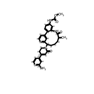 COC(=O)Nc1ccc2c(c1)NC(=O)C(C)CCCC(N1CCC(c3ccnc(N)c3)=CC1=O)c1cc-2ccn1